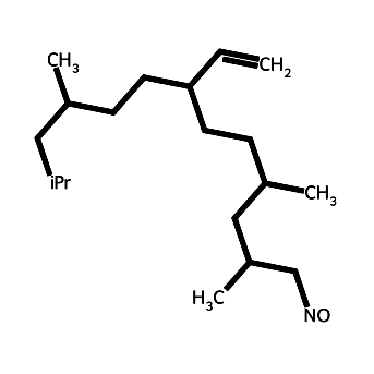 C=CC(CCC(C)CC(C)C)CCC(C)CC(C)CN=O